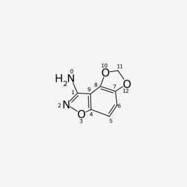 Nc1noc2ccc3c(c12)OCO3